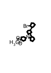 CS(=O)(=O)c1ccc(-n2c3ccccc3c3cc(-c4ccccc4Br)ccc32)cc1